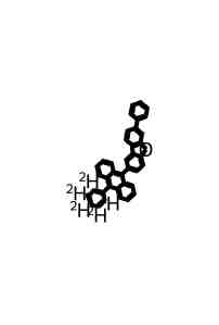 [2H]c1c([2H])c([2H])c(-c2c3ccccc3c(-c3ccc4oc5cc(-c6ccccc6)ccc5c4c3)c3ccccc23)c([2H])c1[2H]